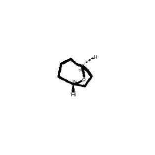 [CH]1C[C@H]2CC[C@H](C1)O2